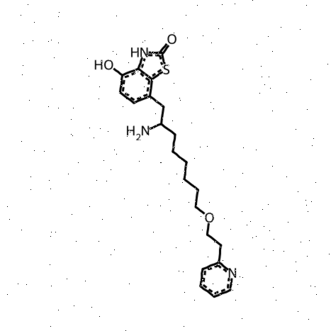 NC(CCCCCCOCCc1ccccn1)Cc1ccc(O)c2[nH]c(=O)sc12